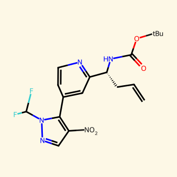 C=CC[C@@H](NC(=O)OC(C)(C)C)c1cc(-c2c([N+](=O)[O-])cnn2C(F)F)ccn1